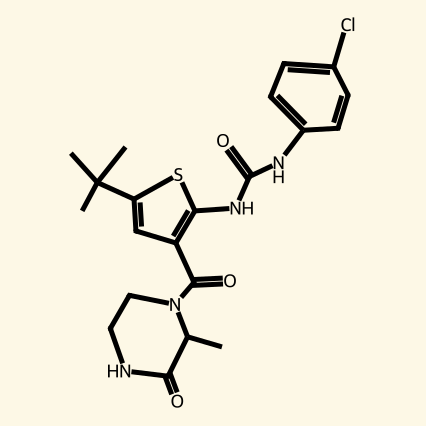 CC1C(=O)NCCN1C(=O)c1cc(C(C)(C)C)sc1NC(=O)Nc1ccc(Cl)cc1